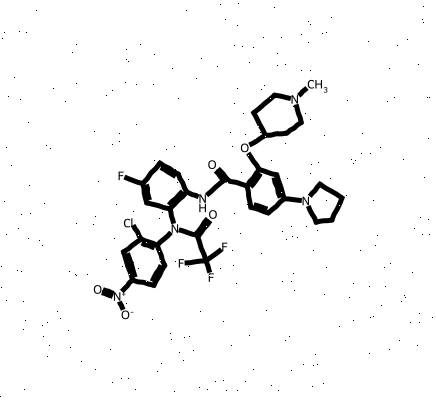 CN1CCC(Oc2cc(N3CCCC3)ccc2C(=O)Nc2ccc(F)cc2N(C(=O)C(F)(F)F)c2ccc([N+](=O)[O-])cc2Cl)CC1